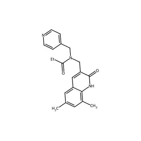 CCC(=O)N(Cc1ccncc1)Cc1cc2cc(C)cc(C)c2[nH]c1=O